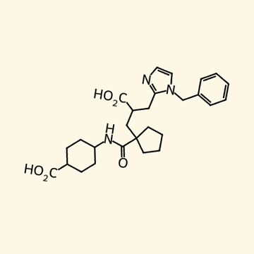 O=C(O)C1CCC(NC(=O)C2(CC(Cc3nccn3Cc3ccccc3)C(=O)O)CCCC2)CC1